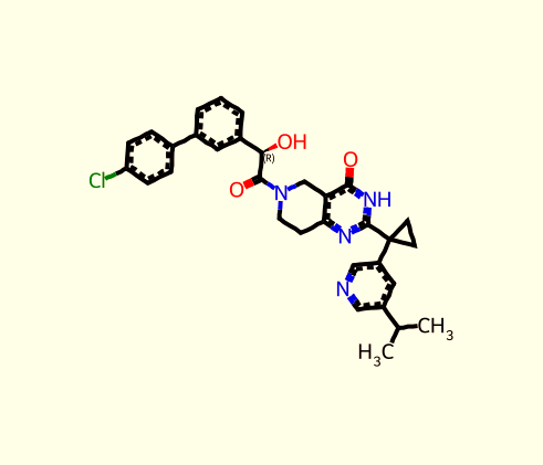 CC(C)c1cncc(C2(c3nc4c(c(=O)[nH]3)CN(C(=O)[C@H](O)c3cccc(-c5ccc(Cl)cc5)c3)CC4)CC2)c1